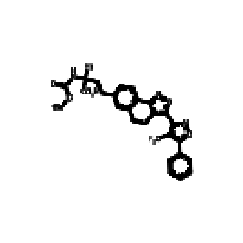 CCOC(=O)C(CC)(CCc1ccc2c(c1)CCc1c-2noc1-c1noc(-c2ccccc2)c1C(F)(F)F)NC(=O)OC(C)(C)C